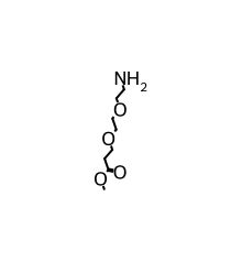 COC(=O)CCOCCOCCN